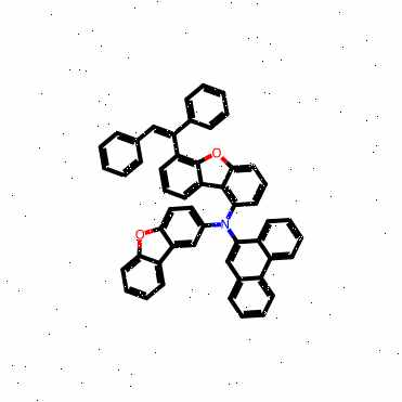 C(=C(\c1ccccc1)c1cccc2c1oc1cccc(N(c3ccc4oc5ccccc5c4c3)c3cc4ccccc4c4ccccc34)c12)/c1ccccc1